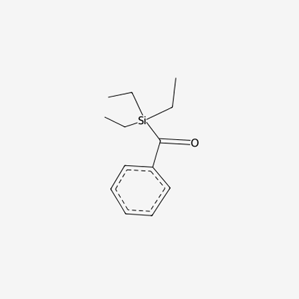 CC[Si](CC)(CC)C(=O)c1ccccc1